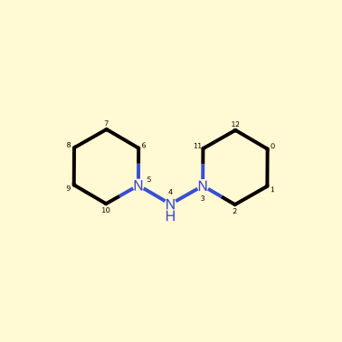 C1CCN(NN2CCCCC2)CC1